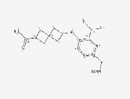 CC(=O)NCc1ccc(OC2CC3(C2)CN(C(=O)C(F)(F)F)C3)c(C(F)F)n1